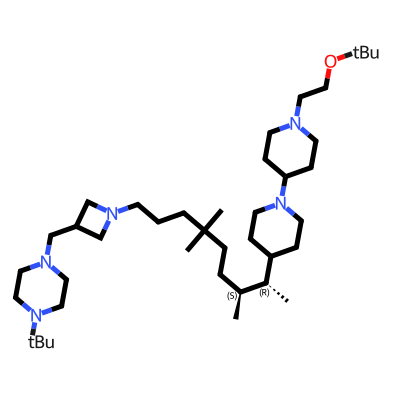 C[C@@H](CCC(C)(C)CCCN1CC(CN2CCN(C(C)(C)C)CC2)C1)[C@@H](C)C1CCN(C2CCN(CCOC(C)(C)C)CC2)CC1